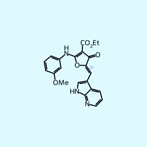 CCOC(=O)C1=C(Nc2cccc(OC)c2)O/C(=C\c2c[nH]c3ncccc23)C1=O